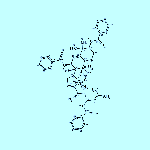 CC(C)=C[C@@H](C[C@@H](C)[C@H]1CC[C@@]2(C)[C@@H]3[C@@H](OC(=O)c4ccccc4)C=C4[C@@H](CC[C@H](OC(=O)c5ccccc5)C4(C)C)[C@]3(C)CC[C@]12C)OC(=O)c1ccccc1